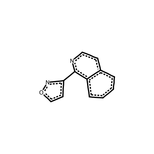 c1ccc2c(-c3ccon3)nccc2c1